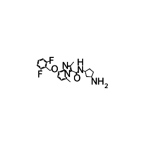 Cc1nc2c(OCc3c(F)cccc3F)ccc(C)n2c1C(=O)NC1CCC(N)C1